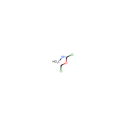 ClCOCCl.NC(=O)O